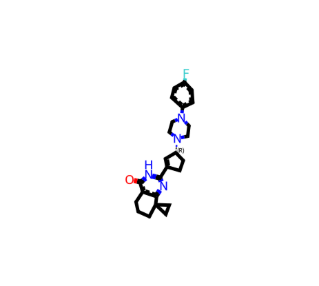 O=c1[nH]c(C2=C[C@H](N3CCN(c4ccc(F)cc4)CC3)CC2)nc2c1CCCC21CC1